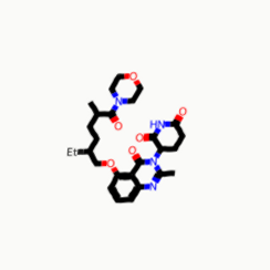 CCC(CCC(C)C(=O)N1CCOCC1)COc1cccc2nc(C)n(C3CCC(=O)NC3=O)c(=O)c12